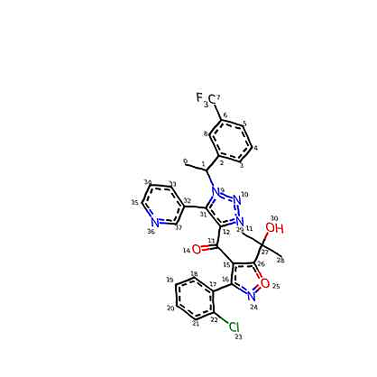 CC(c1cccc(C(F)(F)F)c1)n1nnc(C(=O)c2c(-c3ccccc3Cl)noc2C(C)(C)O)c1-c1cccnc1